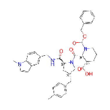 Cc1ccc(C[C@@H]2C[C@@H](C(=O)NCc3ccc4c(ccn4C)c3)N(C(=O)[C@H]3[C@@H](C(=O)O)CCCN3C(=O)OCc3ccccc3)C2)cc1